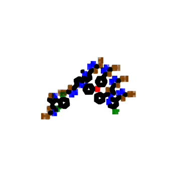 Cn1cccc1-c1nnc(S)s1.Sc1nnc(-c2ccc(Oc3ccccc3)cc2)s1.Sc1nnc(-c2ccc[nH]2)s1.Sc1nnc(-c2cnc(-c3ccccc3)s2)s1.Sc1nnc(-c2cncc(Br)c2)s1.Sc1nnc(-c2csnc2-c2c(Cl)cccc2Cl)s1